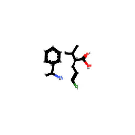 CC(C)[C@H](CC=CCl)C(=O)O.CC(N)c1ccccc1